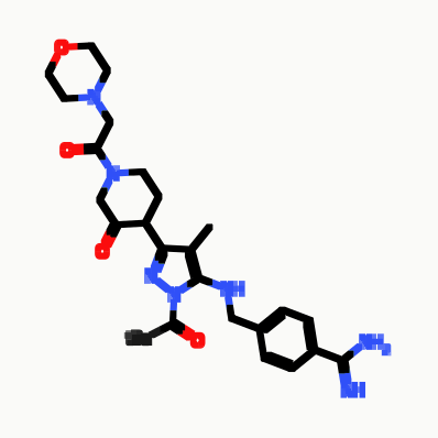 Cc1c(C2CCN(C(=O)CN3CCOCC3)CC2=O)nn(C(=O)C(C)(C)C)c1NCc1ccc(C(=N)N)cc1